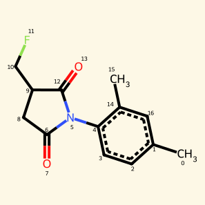 Cc1ccc(N2C(=O)CC(CF)C2=O)c(C)c1